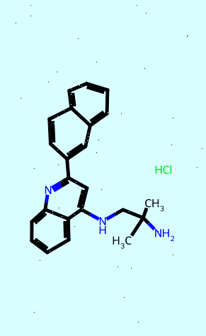 CC(C)(N)CNc1cc(-c2ccc3ccccc3c2)nc2ccccc12.Cl